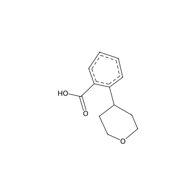 O=C(O)c1ccccc1C1CCOCC1